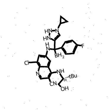 BC(Nc1cc(Cl)c2ncc(C#N)c(N[C@@H](CO)C(C)(C)C)c2c1)(C1=CN(C2CC2)NN1)c1ccc(F)cc1